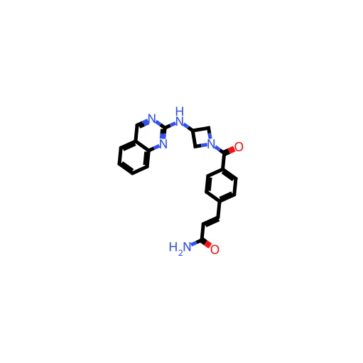 NC(=O)C=Cc1ccc(C(=O)N2CC(Nc3ncc4ccccc4n3)C2)cc1